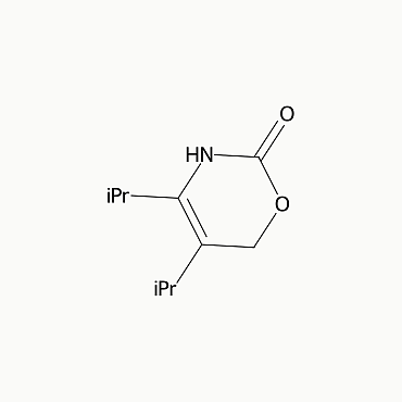 CC(C)C1=C(C(C)C)NC(=O)OC1